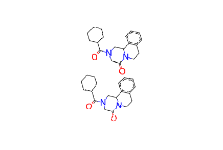 O=C(C1CCCCC1)N1CC(=O)N2CCc3ccccc3C2C1.O=C(C1CCCCC1)N1CC(=O)N2CCc3ccccc3C2C1